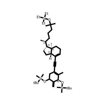 C=C1C(O[Si](C)(C)C(C)(C)C)CC(C#CC2=CCC[C@]3(C)[C@@H]([C@@H](C)CCCC(C)(C)O[Si](CC)(CC)CC)CC[C@@H]23)=C(C)[C@H]1O[Si](C)(C)C(C)(C)C